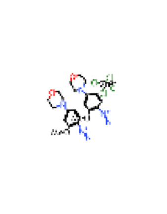 COc1cc(N2CCOCC2)ccc1[N+]#N.COc1cc(N2CCOCC2)ccc1[N+]#N.[Cl][Zn-2]([Cl])([Cl])[Cl]